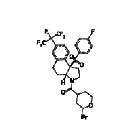 CC(C)C1CC(C(=O)N2CC[C@@]3(S(=O)(=O)c4ccc(F)cc4)c4ccc(C(F)(C(F)(F)F)C(F)(F)F)cc4CC[C@@H]23)CCO1